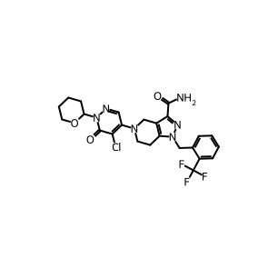 NC(=O)c1nn(Cc2ccccc2C(F)(F)F)c2c1CN(c1cnn(C3CCCCO3)c(=O)c1Cl)CC2